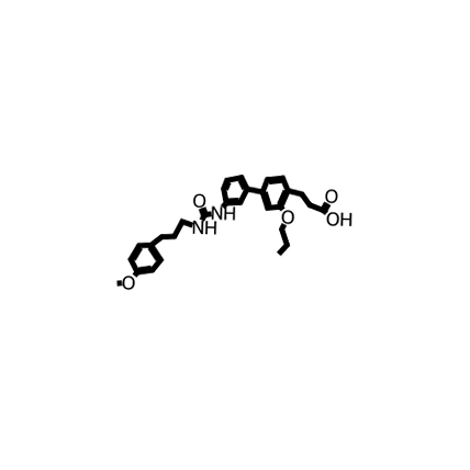 CCCOc1cc(-c2cccc(NC(=O)NCCCc3ccc(OC)cc3)c2)ccc1CCC(=O)O